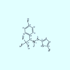 CN(Sc1ccc(F)s1)C(c1ccc(F)cc1)C(F)(F)F